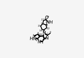 Cc1nc2cnc3[nH]ccc3c2n1C1CCC2CC(=O)NC2C1